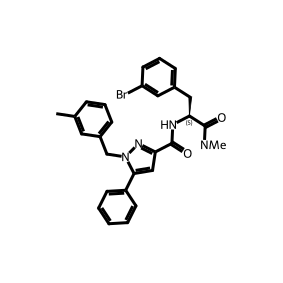 CNC(=O)[C@H](Cc1cccc(Br)c1)NC(=O)c1cc(-c2ccccc2)n(Cc2cccc(C)c2)n1